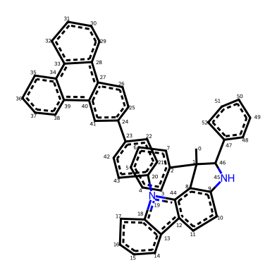 CC1(c2ccccc2)c2c(ccc3c4ccccc4n(-c4ccc(-c5ccc6c7ccccc7c7ccccc7c6c5)cc4)c23)NC1c1ccccc1